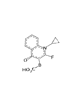 O=C(O)[B]c1c(F)n(C2CC2)c2ccccc2c1=O